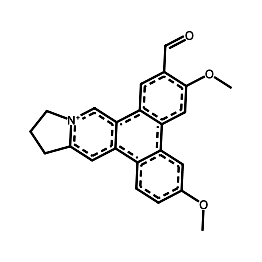 COc1ccc2c(c1)c1cc(OC)c(C=O)cc1c1c[n+]3c(cc21)CCC3